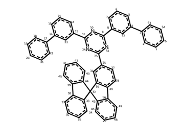 c1ccc(-c2cccc(-c3nc(-c4cccc(-c5ccccc5)c4)nc(-c4ccc5c(c4)C4(c6ccccc6-c6ccccc64)c4ccccc4-5)n3)c2)cc1